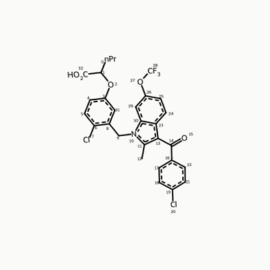 CCCC(Oc1ccc(Cl)c(Cn2c(C)c(C(=O)c3ccc(Cl)cc3)c3ccc(OC(F)(F)F)cc32)c1)C(=O)O